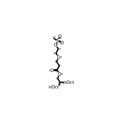 CCCCCCCCC(CCCCCCCC)COC(=O)CCOCCOS(C)(=O)=O